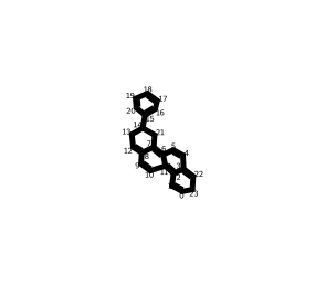 C1=Cc2c(ccc3c4c(ccc23)=CCC(c2ccccc2)C4)=CC1